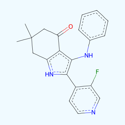 CC1(C)CC(=O)c2c([nH]c(-c3ccncc3F)c2Nc2ccccc2)C1